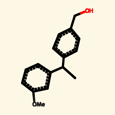 COc1cccc(C(C)c2ccc(CO)cc2)c1